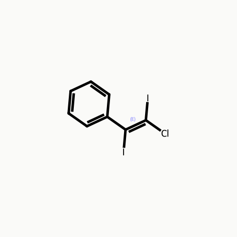 Cl/C(I)=C(\I)c1ccccc1